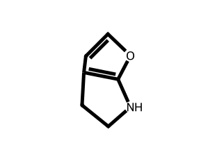 c1cc2c(o1)NCC2